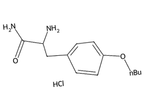 CCCCOc1ccc(CC(N)C(N)=O)cc1.Cl